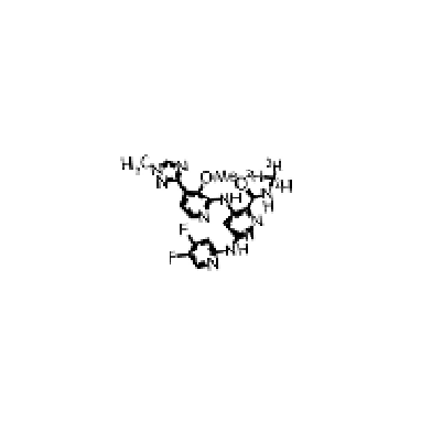 [2H]C([2H])([2H])NC(=O)c1nnc(Nc2cc(F)c(F)cn2)cc1Nc1nccc(-c2ncn(C)n2)c1OC